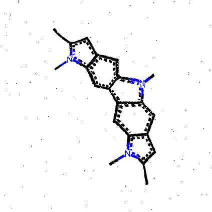 Cc1cc2cc3c(cc2n1C)c1cc2c(cc(C)n2C)cc1n3C